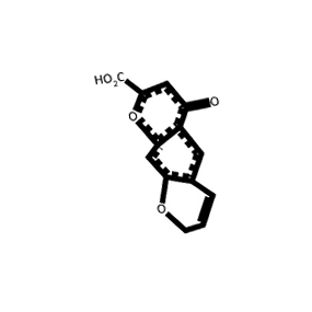 O=C(O)c1cc(=O)c2cc3c(cc2o1)OCC=C3